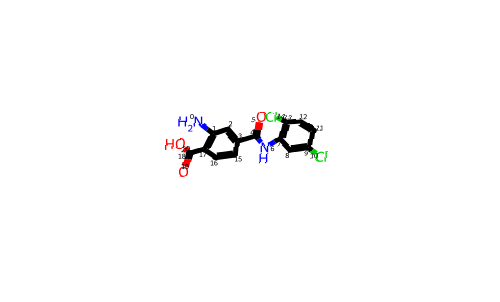 Nc1cc(C(=O)Nc2cc(Cl)ccc2Cl)ccc1C(=O)O